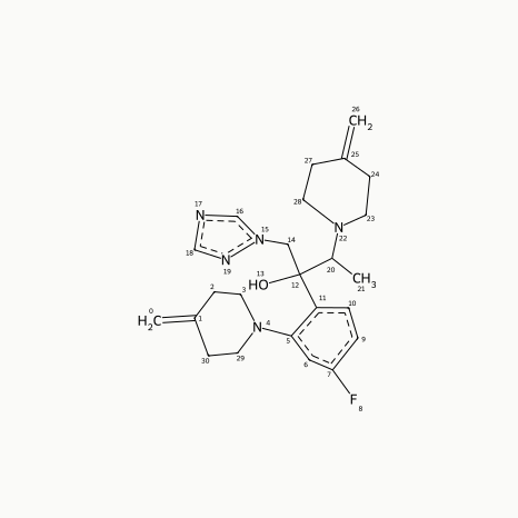 C=C1CCN(c2cc(F)ccc2C(O)(Cn2cncn2)C(C)N2CCC(=C)CC2)CC1